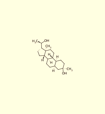 C[C@@H](O)[C@H]1CC[C@H]2[C@@H]3CC[C@@H]4C[C@](C)(O)CC[C@@H]4[C@H]3CC[C@]12C